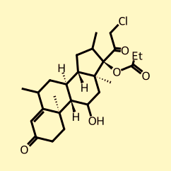 CCC(=O)O[C@]1(C(=O)CCl)C(C)C[C@H]2[C@@H]3CC(C)C4=CC(=O)CC[C@]4(C)[C@H]3C(O)C[C@@]21C